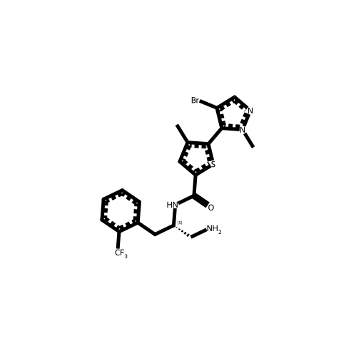 Cc1cc(C(=O)N[C@H](CN)Cc2ccccc2C(F)(F)F)sc1-c1c(Br)cnn1C